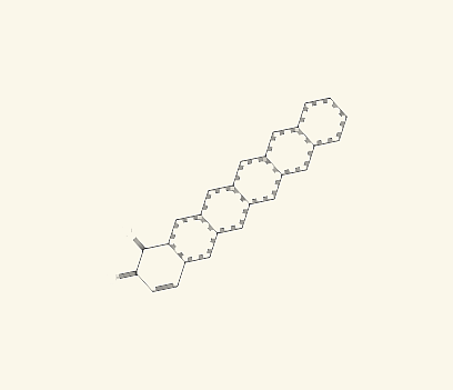 O=C1C=Cc2cc3cc4cc5cc6ccccc6cc5cc4cc3cc2C1=O